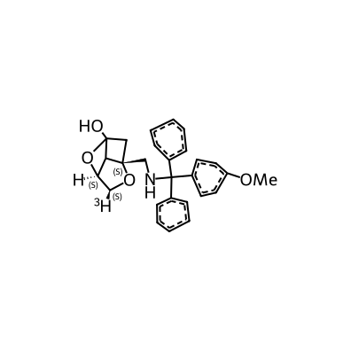 [3H][C@@H]1O[C@@]2(CNC(c3ccccc3)(c3ccccc3)c3ccc(OC)cc3)CC3(O)O[C@H]1C32